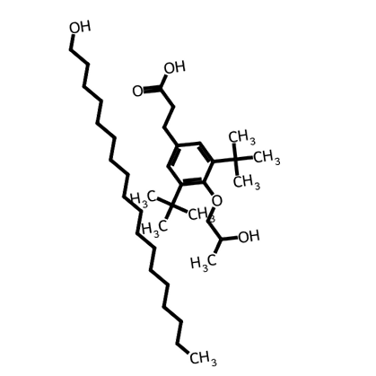 CC(O)COc1c(C(C)(C)C)cc(CCC(=O)O)cc1C(C)(C)C.CCCCCCCCCCCCCCCCCCO